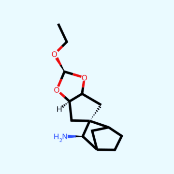 CCO[C@H]1OC2C[C@]3(C[C@H]2O1)C1CCC(C1)[C@H]3N